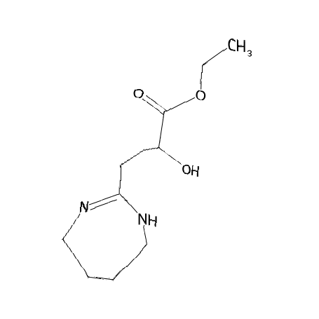 CCOC(=O)C(O)CC1=NCCCCN1